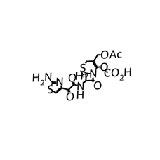 CC(=O)OCC1=C(OC(=O)O)N2C(=O)C(NC(=O)C(=O)c3csc(N)n3)[C@@H]2SC1